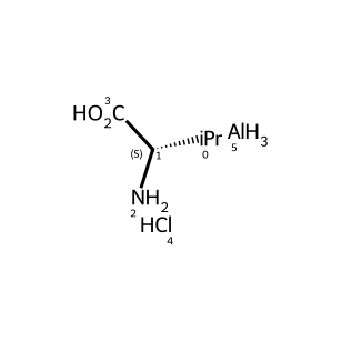 CC(C)[C@H](N)C(=O)O.Cl.[AlH3]